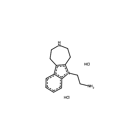 Cl.Cl.NCCn1c2c(c3ccccc31)CCNCC2